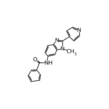 Cn1c(-c2ccncc2)nc2ccc(NC(=O)c3ccccc3)cc21